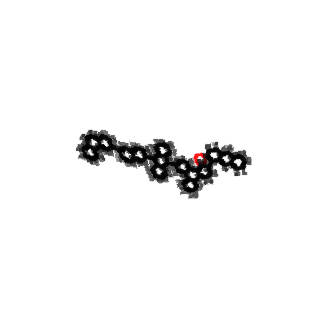 c1ccc2cc3c(ccc4oc5c(ccc6c7ccccc7c7cc(-c8c9ccccc9c(-c9ccc%10cc(-c%11ccc%12ccc%13ccccc%13c%12c%11)ccc%10c9)c9ccccc89)ccc7c65)c43)cc2c1